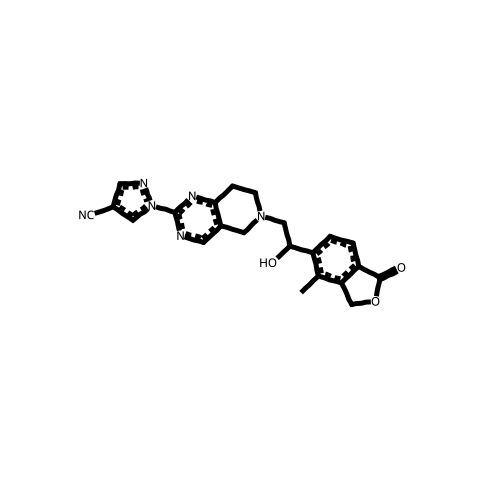 Cc1c(C(O)CN2CCc3nc(-n4cc(C#N)cn4)ncc3C2)ccc2c1COC2=O